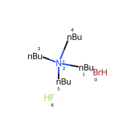 Br.CCCC[N+](CCCC)(CCCC)CCCC.F